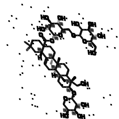 CC1(C)CCC2(C(=O)O[C@H]3O[C@H](COC4O[C@H](CO)[C@@H](O)[C@H](O)C4O)[C@@H](O)[C@H](O)[C@H]3O)CC[C@]3(C)C(=CC[C@@H]4[C@@]5(C)CC[C@H](OC6OC[C@H](O)[C@H](O)[C@H]6O)[C@@](C)(CO)C5CC[C@]43C)[C@@H]2C1